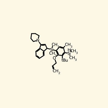 C=CCOc1c([Si](C)(C)C2C=C(N3CCCCC3)c3ccccc32)cc(C)c([SiH](C)C)c1C(C)(C)C